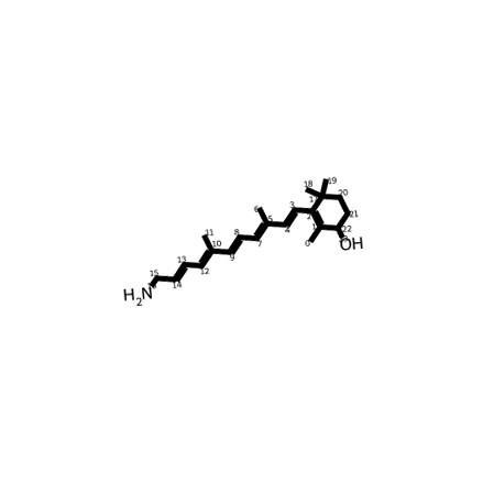 CC1=C(/C=C/C(C)=C/C=C/C(C)=C/C=C/CN)C(C)(C)CCC1O